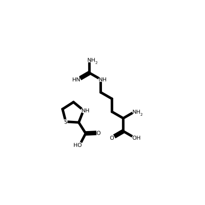 N=C(N)NCCCC(N)C(=O)O.O=C(O)C1NCCS1